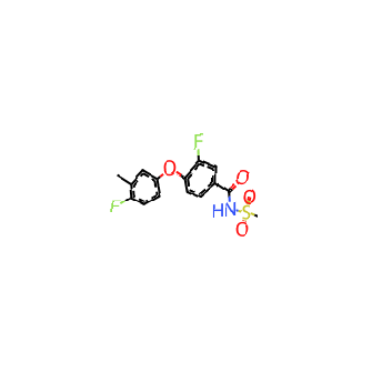 Cc1cc(Oc2ccc(C(=O)NS(C)(=O)=O)cc2F)ccc1F